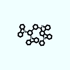 c1ccc(-n2c3ccccc3c3c4c(ccc32)c(-c2cccc(-c3cc(-n5c6ccccc6c6ccccc65)cc(-n5c6ccccc6c6ccccc65)c3)c2)nc2ccccc24)cc1